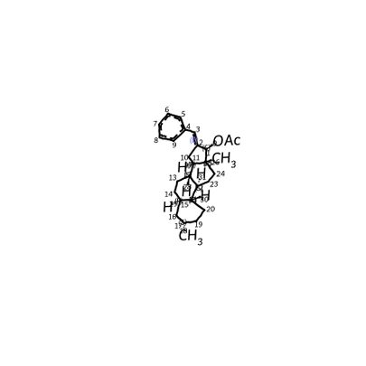 CC(=O)O[C@@H]1/C(=C/c2ccccc2)C[C@@H]2[C@H]3CC[C@@H]4C[C@@H](C)CC[C@H]4[C@@H]3CC[C@@]12C